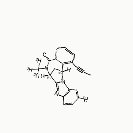 [2H]c1ccc2nc3n(c2c1)[C@@H]1C[C@H]3N(C([2H])([2H])[2H])C(=O)c2cccc(C#CC)c21